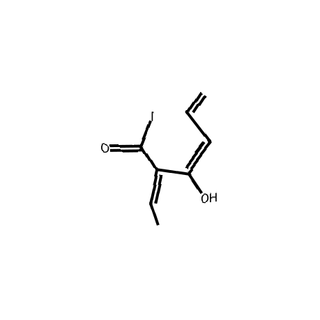 C=C/C=C(O)\C(=C/C)C(=O)I